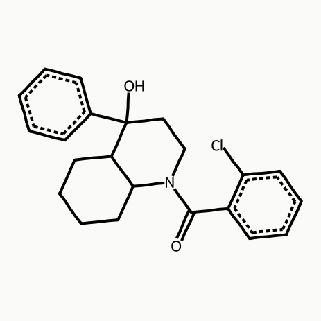 O=C(c1ccccc1Cl)N1CCC(O)(c2ccccc2)C2CCCCC21